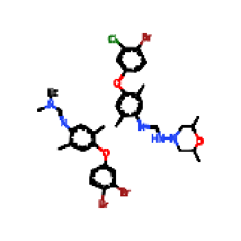 CCN(C)C=Nc1cc(C)c(Oc2ccc(Br)c(Br)c2)cc1C.Cc1cc(Oc2ccc(Br)c(Cl)c2)c(C)cc1N=CNN1CC(C)OC(C)C1